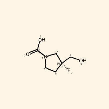 O=C(O)N1CC[C@](F)(CO)C1